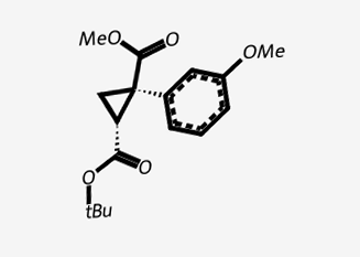 COC(=O)[C@]1(c2cccc(OC)c2)C[C@H]1C(=O)OC(C)(C)C